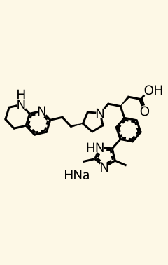 Cc1nc(C)c(-c2cccc([C@H](CC(=O)O)CN3CC[C@@H](CCc4ccc5c(n4)NCCC5)C3)c2)[nH]1.[NaH]